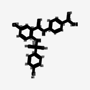 O=C(O)c1ccc(NC(=O)c2cc(Cl)ccc2NS(=O)(=O)c2ccc(Cl)cc2)cc1